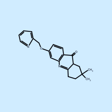 CC1(C)CCC2=Nc3cc(OCc4ccccn4)ccc3C(=O)C2C1